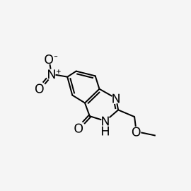 COCc1nc2ccc([N+](=O)[O-])cc2c(=O)[nH]1